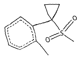 Cc1ccccc1C1(S(C)(=O)=O)CC1